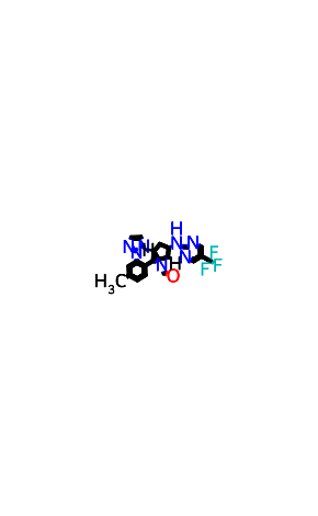 Cc1ccc(C2[C@@H]3C[C@@H](Nc4ncc(C(F)(F)F)cn4)[C@H](C3)N2C=O)c(-n2nccn2)c1